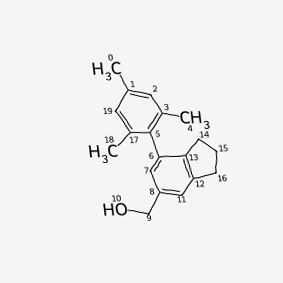 Cc1cc(C)c(-c2cc(CO)cc3c2CCC3)c(C)c1